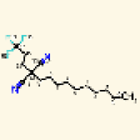 CCCCCCCCCCC(C#N)(C#N)CCC(F)(F)F